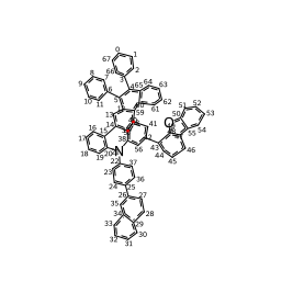 c1ccc(-c2c(-c3ccccc3)c3cc(-c4ccccc4N(c4ccc(-c5ccc6ccccc6c5)cc4)c4cccc(-c5cccc6c5oc5ccccc56)c4)ccc3c3ccccc23)cc1